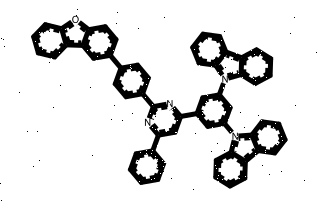 c1ccc(-c2cc(-c3cc(-n4c5ccccc5c5ccccc54)cc(-n4c5ccccc5c5ccccc54)c3)nc(-c3ccc(-c4ccc5oc6ccccc6c5c4)cc3)n2)cc1